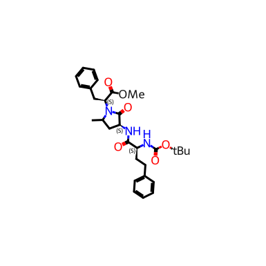 COC(=O)[C@H](Cc1ccccc1)N1C(=O)[C@@H](NC(=O)[C@H](CCc2ccccc2)NC(=O)OC(C)(C)C)CC1C